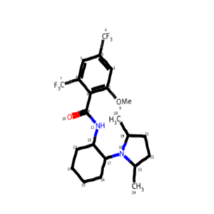 COc1cc(C(F)(F)F)cc(C(F)(F)F)c1C(=O)NC1CCCCC1N1C(C)CCC1C